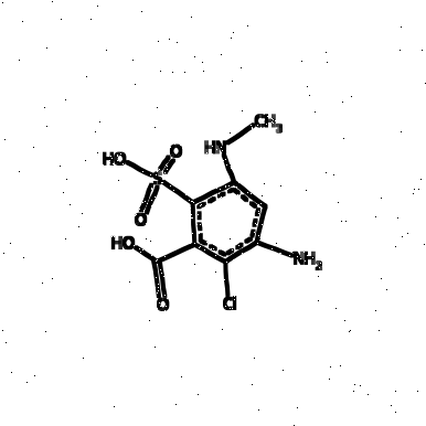 CNc1cc(N)c(Cl)c(C(=O)O)c1S(=O)(=O)O